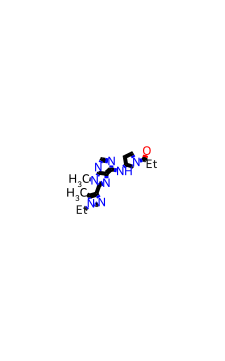 CCC(=O)N1CCC(Nc2ncnc3c2nc(-c2ncn(CC)c2C)n3C)C1